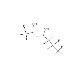 OC(CC(O)C(F)(F)C(F)(F)C(F)(F)F)C(F)(F)F